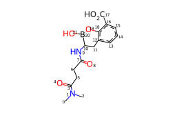 CN(C)C(=O)CCC(=O)NC1Cc2cccc(C(=O)O)c2OB1O